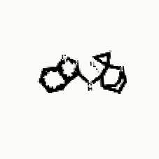 c1ccc2c(N[C@@H]3C4CCN(CC4)C34CC4)noc2c1